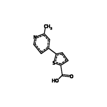 Cc1cc(-c2ccc(C(=O)O)s2)ccn1